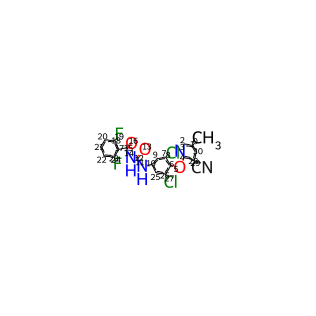 Cc1cnc(Oc2c(Cl)cc(NC(=O)NC(=O)c3c(F)cccc3F)cc2Cl)c(C#N)c1